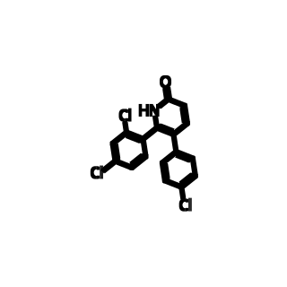 O=c1ccc(-c2ccc(Cl)cc2)c(-c2ccc(Cl)cc2Cl)[nH]1